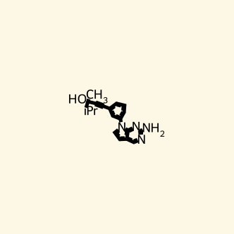 CC(C)C(C)(O)C#Cc1cccc(-n2ccc3cnc(N)nc32)c1